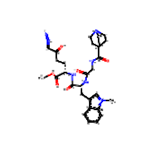 Cn1cc(C[C@H](NC(=O)CNC(=O)C23CCN(CC2)CC3)C(=O)N[C@@H](CCC(=O)C=[N+]=[N-])C(=O)OC(C)(C)C)c2ccccc21